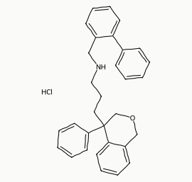 Cl.c1ccc(-c2ccccc2CNCCCC2(c3ccccc3)COCc3ccccc32)cc1